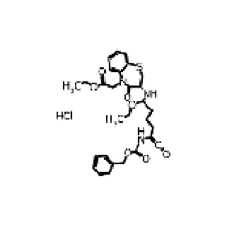 CCOC(=O)CN1C(=O)[C@@H](NC(CCCC(=C=O)NC(=O)OCc2ccccc2)OCC)CSc2ccccc21.Cl